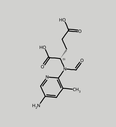 Cc1cc(N)cnc1N(C=O)[C@@H](CCC(=O)O)C(=O)O